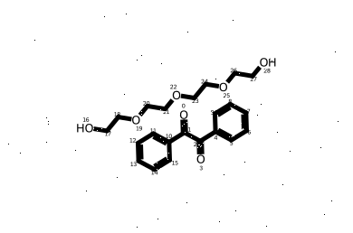 O=C(C(=O)c1ccccc1)c1ccccc1.OCCOCCOCCOCCO